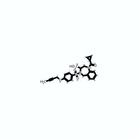 CC#CCOc1ccc(S(=O)(=O)N2Cc3ccccc3N(C(=O)C3CC3)CC2C(=O)O)cc1